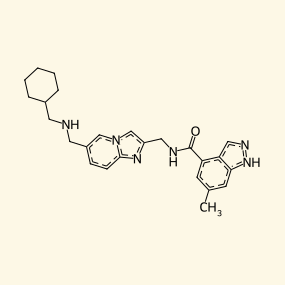 Cc1cc(C(=O)NCc2cn3cc(CNCC4CCCCC4)ccc3n2)c2cn[nH]c2c1